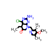 CCC1C(=O)CN(Cc2ncc(C)c(OC)c2C)c2nc(N)nc(Cl)c21